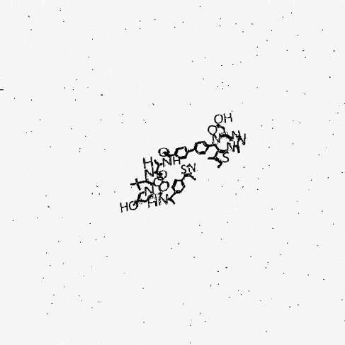 Cc1ncsc1-c1ccc(C(C)NC(=O)[C@@H]2C[C@@H](O)CN2C(=O)C(NC(=O)C(C)NC(=O)c2ccc(-c3ccc(C4=N[C@@H](CC(=O)O)c5nnc(C)n5-c5sc(C)c(C)c54)cc3)cc2)C(C)(C)C)cc1